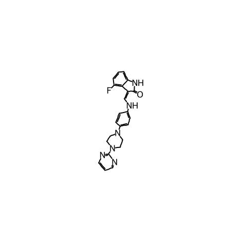 O=C1Nc2cccc(F)c2C1=CNc1ccc(N2CCN(c3ncccn3)CC2)cc1